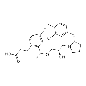 Cc1ccc(C[C@@H]2CCCN2C[C@@H](O)CO[C@H](C)c2cc(F)ccc2CCC(=O)O)cc1Cl